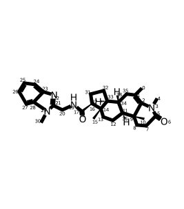 CC1=C2N(C)C(=O)CC[C@]2(C)[C@H]2CC[C@]3(C)[C@@H](C(=O)NCc4nc5ccccc5n4C)CC[C@H]3[C@@H]2C1